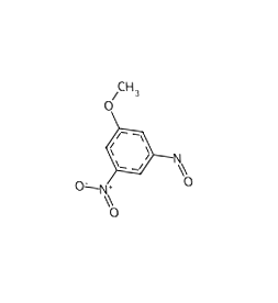 COc1cc(N=O)cc([N+](=O)[O-])c1